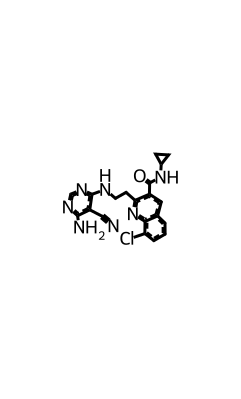 N#Cc1c(N)ncnc1NCCc1nc2c(Cl)cccc2cc1C(=O)NC1CC1